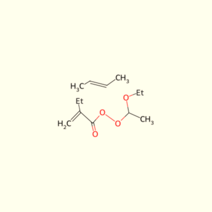 C=C(CC)C(=O)OOC(C)OCC.CC=CC